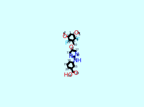 COc1cc(OC)c(F)c(COc2cnc(Nc3cccc(C(=O)O)c3)nc2)c1F